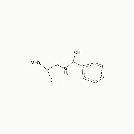 COC(C)O[SiH2]C(O)c1ccccc1